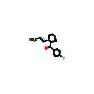 O=C(O)/C=C/c1ccccc1C(=O)c1ccc(F)cc1